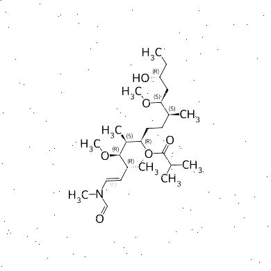 CC[C@@H](O)C[C@H](OC)[C@@H](C)CC[C@@H](OC(=O)C(C)C)[C@H](C)[C@H](OC)[C@H](C)/C=C/N(C)C=O